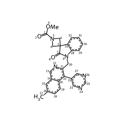 COC(=O)N1CC2(C1)C(=O)N(Cc1ncc3cc(C)ccc3c1-c1cncnc1)c1ccccc12